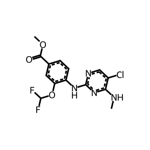 CNc1nc(Nc2ccc(C(=O)OC)cc2OC(F)F)ncc1Cl